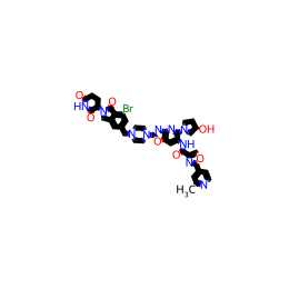 Cc1cc(-c2nc(C(=O)Nc3cc4oc(N5CCN(Cc6cc(Br)c7c(c6)CN(C6CCC(=O)NC6=O)C7=O)CC5)nc4nc3N3CC[C@@H](O)C3)co2)ccn1